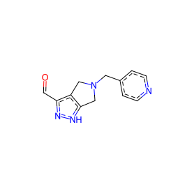 O=Cc1n[nH]c2c1CN(Cc1ccncc1)C2